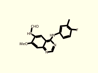 COc1cc2ncnc(Nc3ccc(F)c(C)c3)c2cc1NC=O